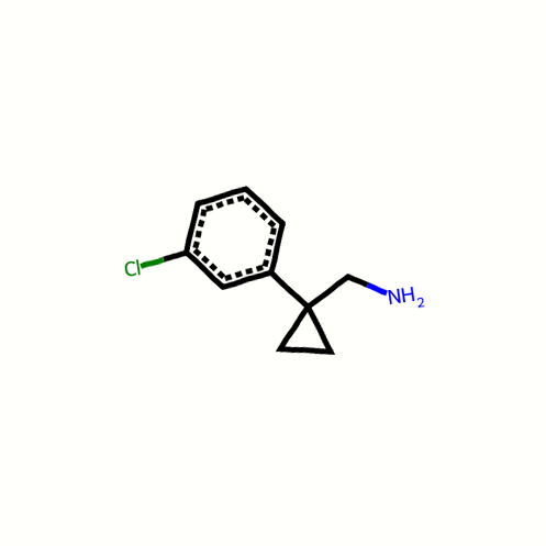 NCC1(c2cccc(Cl)c2)CC1